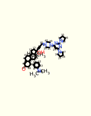 CN(C)c1ccc([C@H]2C[C@@]3(C)[C@@H](CC[C@@]3(O)C#CCN3CCN(c4cc(N5CCCC5)nc(N5CCCC5)n4)CC3)[C@@H]3CCC4=CC(=O)CCC4=C32)cc1